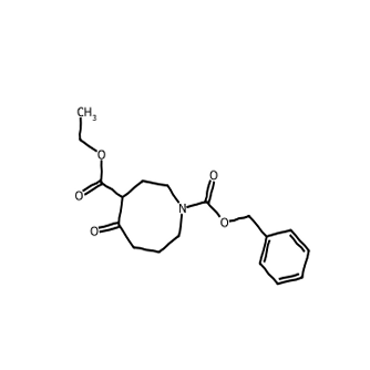 CCOC(=O)C1CCN(C(=O)OCc2ccccc2)CCCC1=O